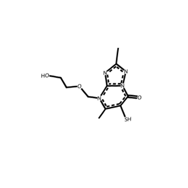 Cc1nc2n(COCCO)c(C)c(S)c(=O)n2n1